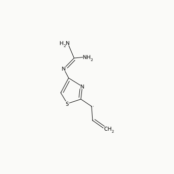 C=C[CH]c1nc(N=C(N)N)cs1